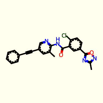 Cc1noc(-c2ccc(Cl)c(C(=O)Nc3ncc(C#Cc4ccccc4)cc3C)c2)n1